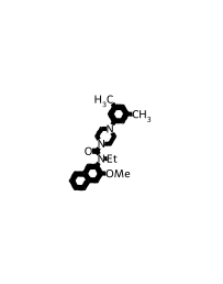 CCN(C(=O)N1CCN(c2cc(C)cc(C)c2)CC1)c1cc2ccccc2cc1OC